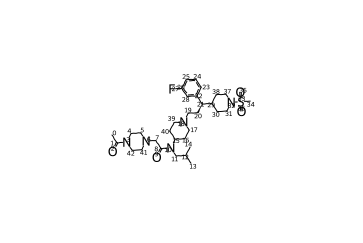 CC(=O)N1CCN(CC(=O)N(CC(C)C)C2CCN(CC[C@@H](c3cccc(F)c3)C3CCN(S(C)(=O)=O)CC3)CC2)CC1